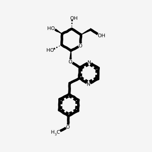 COc1ccc(Cc2nccnc2O[C@@H]2O[C@H](CO)[C@@H](O)[C@H](O)[C@H]2O)cc1